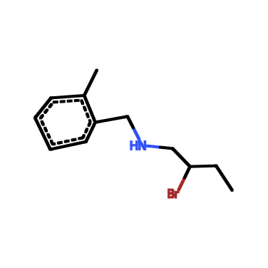 CCC(Br)CNCc1ccccc1C